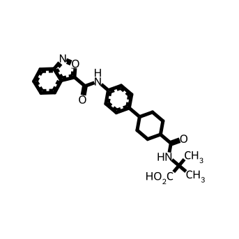 CC(C)(NC(=O)C1CCC(c2ccc(NC(=O)c3onc4ccccc34)cc2)CC1)C(=O)O